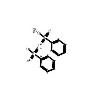 O=S(=O)([O-])c1ccccc1.O=S(=O)([O-])c1ccccc1.[S+2]